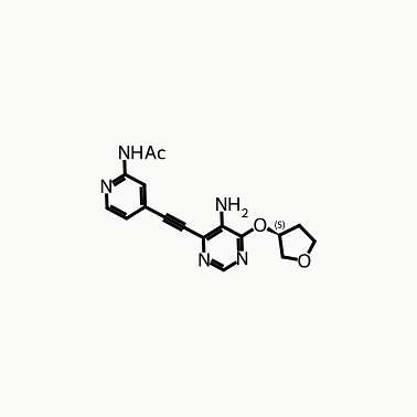 CC(=O)Nc1cc(C#Cc2ncnc(O[C@H]3CCOC3)c2N)ccn1